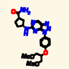 COCC(COC)Oc1ccc(-n2nnc3cnc(N[C@@H]4CC[C@@H](C(N)=O)C4)nc32)cc1